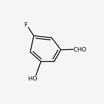 O=Cc1cc(O)cc(F)c1